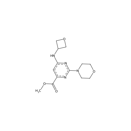 COC(=O)c1cc(NC2COC2)nc(N2CCOCC2)n1